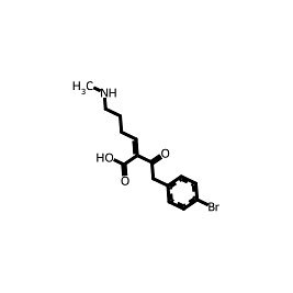 CNCCCC=C(C(=O)O)C(=O)Cc1ccc(Br)cc1